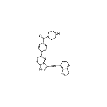 O=C(c1ccc(-c2ccc3ncc(C#Cc4ccnc5c4C=CC5)n3n2)cc1)N1CCNCC1